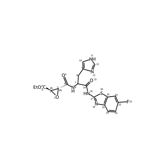 CCOC(=O)[C@@H]1O[C@H]1C(=O)NC(Cc1c[nH]cn1)C(=O)Nc1nc2ccc(F)cc2s1